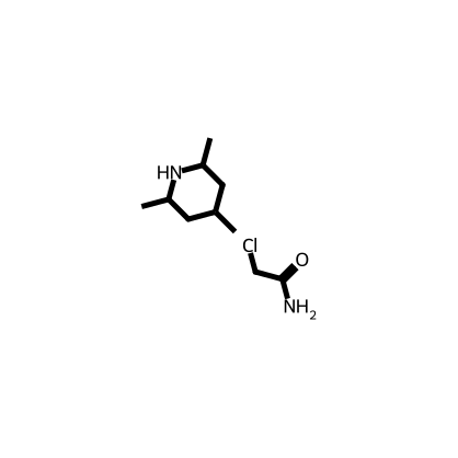 CC1CC(C)NC(C)C1.NC(=O)CCl